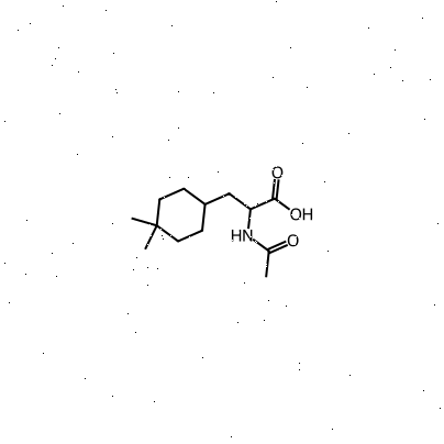 CC(=O)NC(CC1CCC(C)(C)CC1)C(=O)O